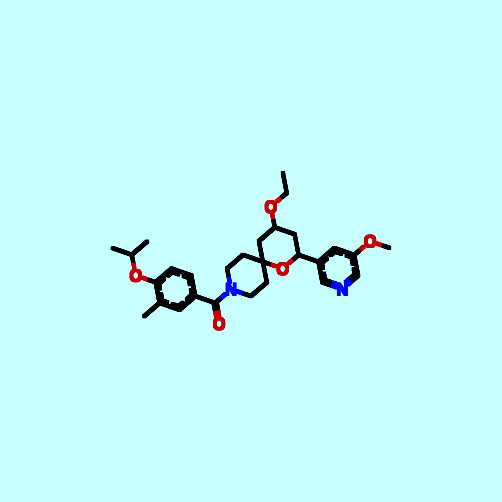 CCOC1CC(c2cncc(OC)c2)OC2(CCN(C(=O)c3ccc(OC(C)C)c(C)c3)CC2)C1